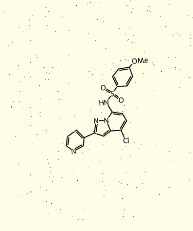 COc1ccc(S(=O)(=O)Nc2ccc(Cl)c3cc(-c4cccnc4)nn23)cc1